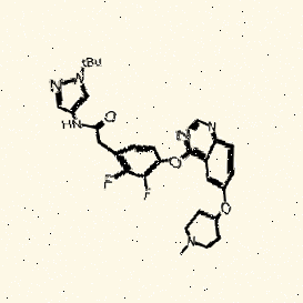 CN1CCC(Oc2ccc3ncnc(Oc4ccc(CC(=O)Nc5cnn(C(C)(C)C)c5)c(F)c4F)c3c2)CC1